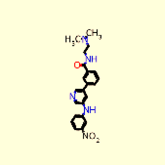 CN(C)CCNC(=O)c1cccc(-c2cncc(Nc3cccc([N+](=O)[O-])c3)c2)c1